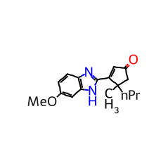 CCCC1(C)CC(=O)C=C1c1nc2ccc(OC)cc2[nH]1